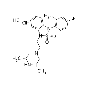 Cc1cc(F)ccc1N1c2ccccc2N(CCN2C[C@@H](C)N[C@@H](C)C2)S1(=O)=O.Cl.Cl